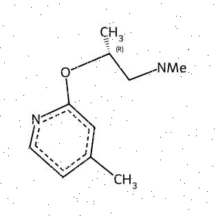 CNC[C@@H](C)Oc1cc(C)ccn1